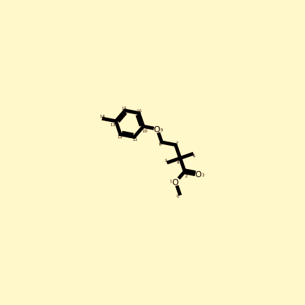 COC(=O)C(C)(C)CCOc1ccc(C)cc1